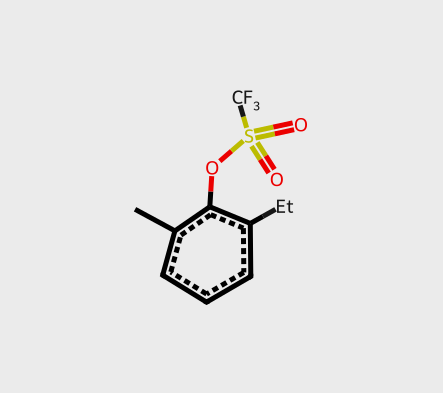 CCc1cccc(C)c1OS(=O)(=O)C(F)(F)F